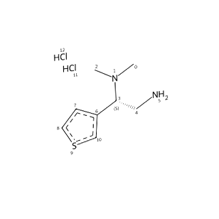 CN(C)[C@H](CN)c1ccsc1.Cl.Cl